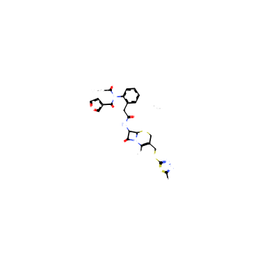 CNC(=O)N(C(=O)c1ccoc1)c1ccccc1CC(=O)NC1C(=O)N2C(C(=O)[O-])=C(CSc3nnc(C)s3)CS[C@H]12.[Na+]